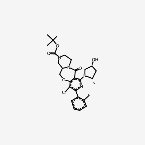 C[C@H]1C[C@H](O)CN1c1nc(-c2ccccc2F)c(Cl)c2c1C(=O)N1CCN(C(=O)OC(C)(C)C)CC1CO2